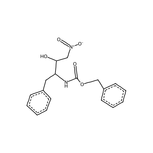 O=C(NC(Cc1ccccc1)C(O)C[N+](=O)[O-])OCc1ccccc1